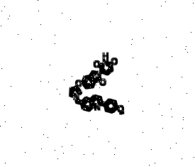 COC1CCC(c2ccc3cc(CN4CCC(Oc5ccc6c(c5)CN(C5CCC(=O)NC5=O)C6=O)C4)ccc3n2)CC1